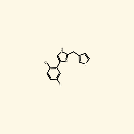 Clc1ccc(Cl)c(-c2c[nH]c(Cc3ccsc3)n2)c1